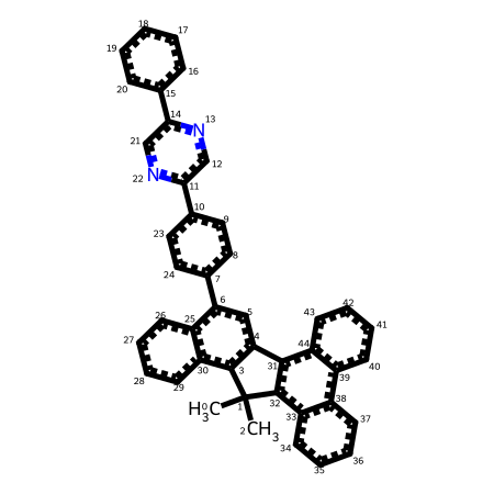 CC1(C)c2c(cc(-c3ccc(-c4cnc(-c5ccccc5)cn4)cc3)c3ccccc23)-c2c1c1ccccc1c1ccccc21